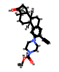 C#Cc1cc2c(cc1N1CCN(C(=O)OC(C)(C)C)CC1)[C@H]1CC[C@]3(C)C(=O)CC[C@H]3[C@@H]1CC2